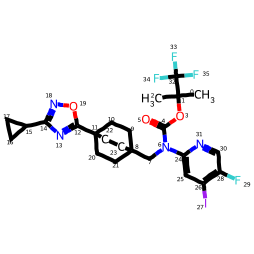 CC(C)(OC(=O)N(CC12CCC(c3nc(C4CC4)no3)(CC1)CC2)c1cc(I)c(F)cn1)C(F)(F)F